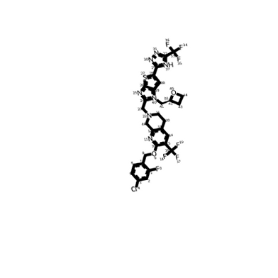 Fc1cc(Cl)ccc1COc1nc2c(cc1C(F)(F)F)CCN(Cc1nc3sc(-c4nnc(C(F)(F)F)[nH]4)cc3n1C[C@@H]1CCO1)C2